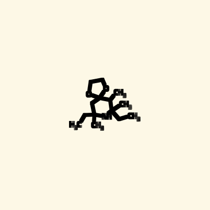 CCC1(C)CC2(OCCO2)C(C)C(C)(CC)N1